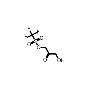 O=C(CO)COS(=O)(=O)C(F)(F)F